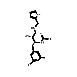 O=C(O)N[C@@H](Cc1cc(F)cc(F)c1)[C@@H](O)CNCc1ccc[nH]1